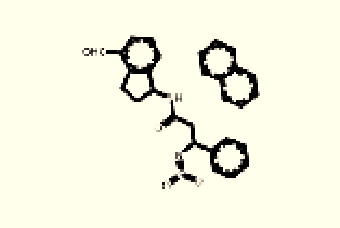 O=Cc1cccc2c1CCC2NC(=O)CC(N=S(=O)=O)c1ccccc1.c1ccc2ccccc2c1